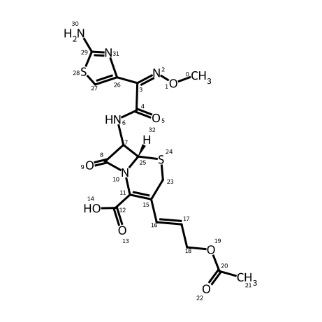 CO/N=C(\C(=O)NC1C(=O)N2C(C(=O)O)=C(/C=C/COC(C)=O)CS[C@@H]12)c1csc(N)n1